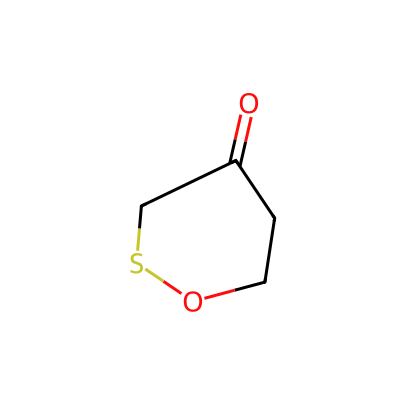 O=C1CCOSC1